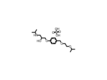 CC(C)NCC(O)COc1ccc(COCCOC(C)C)cc1.O=S(=O)(O)O